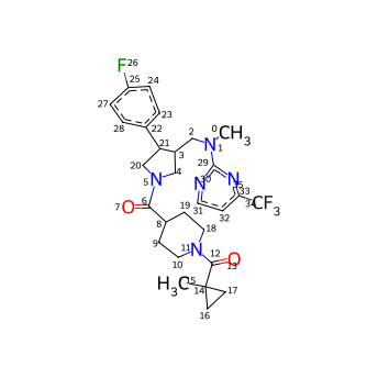 CN(CC1CN(C(=O)C2CCN(C(=O)C3(C)CC3)CC2)CC1c1ccc(F)cc1)c1nccc(C(F)(F)F)n1